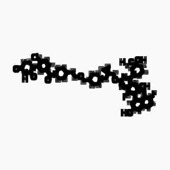 C#Cc1c(F)ccc2cc(O)cc(-c3ncc4c(N5CCC[C@@](C)(O)C5)nc(OCC5(CN6CCC(COCCC7CCN(C(=O)c8ccc(Cl)c(N9CCC(=O)NC9=O)c8)CC7)CC6)CC5)nc4c3F)c12